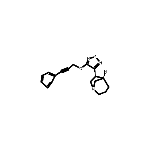 C(#Cc1ccccc1)COc1nsnc1[C@@H]1CN2CCC[C@@H]1C2